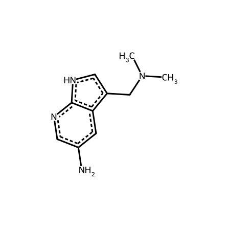 CN(C)Cc1c[nH]c2ncc(N)cc12